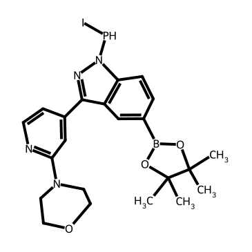 CC1(C)OB(c2ccc3c(c2)c(-c2ccnc(N4CCOCC4)c2)nn3PI)OC1(C)C